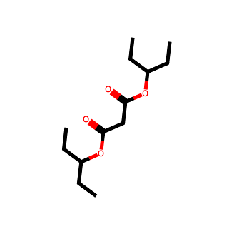 CCC(CC)OC(=O)CC(=O)OC(CC)CC